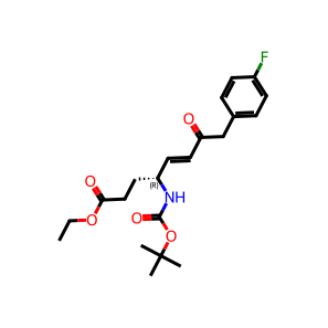 CCOC(=O)CC[C@H](C=CC(=O)Cc1ccc(F)cc1)NC(=O)OC(C)(C)C